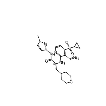 Cn1ccc(NC(=O)[C@H](CC2CCOCC2)Nc2nccc(S(=O)(=O)C3CC3)c2C=N)n1